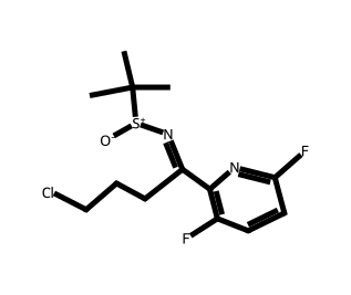 CC(C)(C)[S+]([O-])/N=C(\CCCCl)c1nc(F)ccc1F